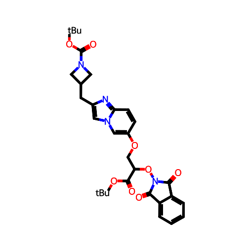 CC(C)(C)OC(=O)C(COc1ccc2nc(CC3CN(C(=O)OC(C)(C)C)C3)cn2c1)ON1C(=O)c2ccccc2C1=O